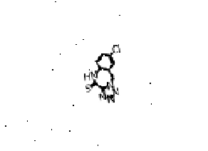 S=C1Nc2ccc(Cl)cc2Cn2nnnc21